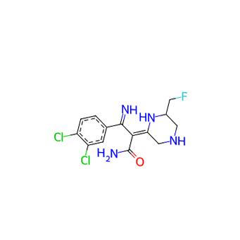 N=C(/C(C(N)=O)=C1/CNCC(CF)N1)c1ccc(Cl)c(Cl)c1